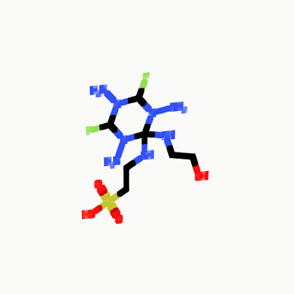 NN1C(F)N(N)C(NCCO)(NCCS(=O)(=O)O)N(N)C1F